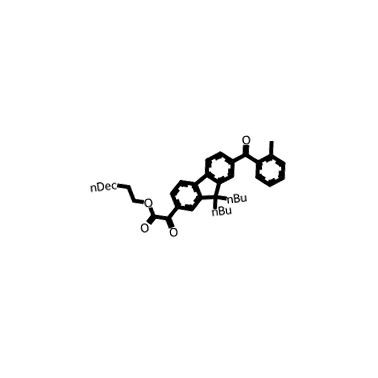 CCCCCCCCCCCCOC(=O)C(=O)c1ccc2c(c1)C(CCCC)(CCCC)c1cc(C(=O)c3ccccc3C)ccc1-2